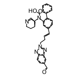 O=Cc1ccc2nn(CCC=Cc3ccc(-c4ccccc4)c(N(C(=O)O)C4CN5CCC4CC5)c3)nc2c1